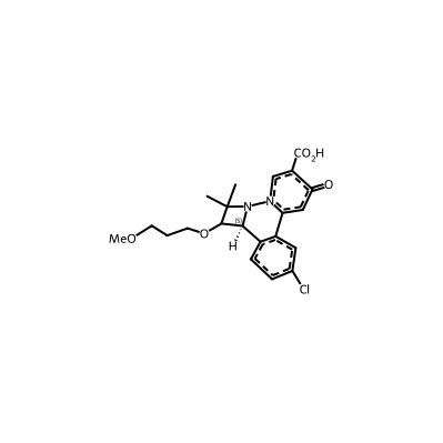 COCCCOC1[C@@H]2c3ccc(Cl)cc3-c3cc(=O)c(C(=O)O)cn3N2C1(C)C